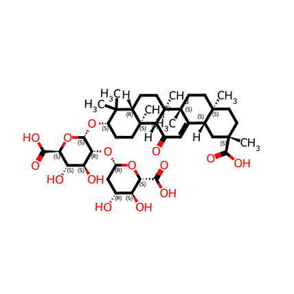 CC1(C)[C@@H](O[C@H]2O[C@H](C(=O)O)[C@@H](O)[C@H](O)[C@H]2O[C@H]2C[C@@H](O)[C@H](O)[C@@H](C(=O)O)O2)CC[C@]2(C)[C@H]3C(=O)C=C4[C@H]5C[C@@](C)(C(=O)O)CC[C@]5(C)CC[C@@]4(C)[C@]3(C)CC[C@@H]12